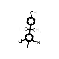 CC(C)(c1ccc(O)cc1)c1cc(Cl)c(F)c(C#N)c1